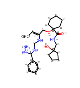 NNC(NCN/C(=C\C=O)COC1(C(=O)NCC2(O)CCCC2)CCCCC1)c1ccccc1